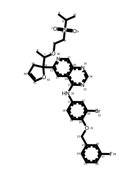 CC(OCCS(=O)(=O)C(C)C)C1(c2cc3c(Nc4ccc(OCc5cccc(F)c5)c(Br)c4)ncnc3cn2)CC=CO1